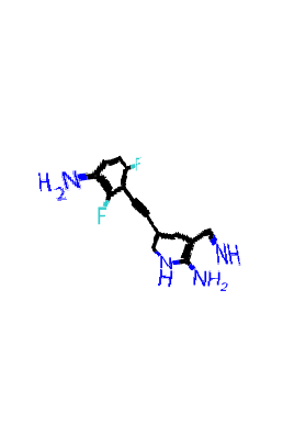 N=CC1=C(N)NCC(C#Cc2c(F)ccc(N)c2F)=C1